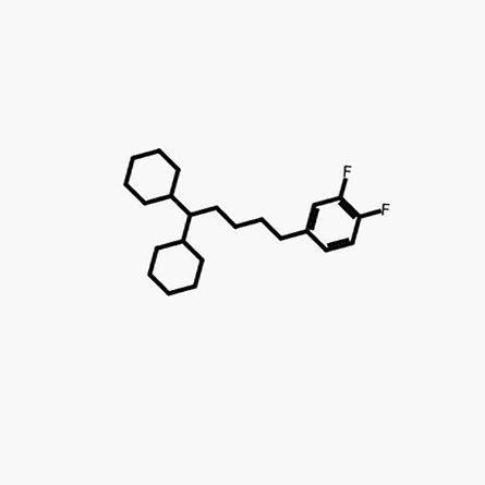 Fc1ccc(CCCCC(C2CCCCC2)C2CCCCC2)cc1F